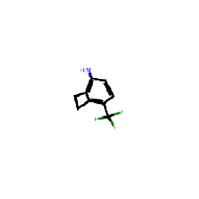 Nc1ccc(C(F)(F)F)c2c1CC2